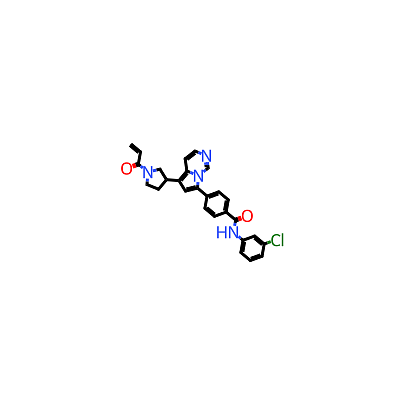 C=CC(=O)N1CCC(c2cc(-c3ccc(C(=O)Nc4cccc(Cl)c4)cc3)n3cnccc23)C1